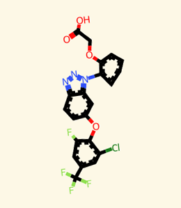 O=C(O)COc1ccccc1-n1nnc2ccc(Oc3c(F)cc(C(F)(F)F)cc3Cl)cc21